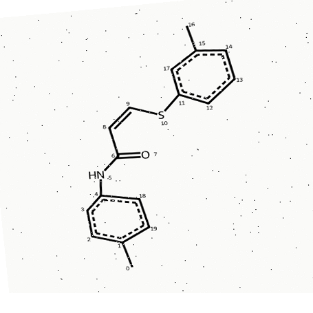 Cc1ccc(NC(=O)/C=C\Sc2cccc(C)c2)cc1